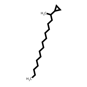 CCCCCCCCCCCCCCC(C)C1CC1